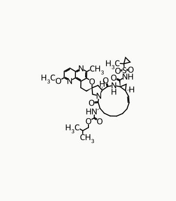 COc1ccc2nc(C)c3c(c2n1)CC[C@]1(C[C@H]2C(=O)N[C@]4(C(=O)NS(=O)(=O)C5(C)CC5)C[C@H]4/C=C\CCCCC[C@H](NC(=O)OCC(C)C)C(=O)N2C1)O3